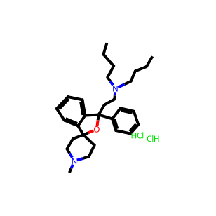 CCCCN(CCCC)CCC1(c2ccccc2)OC2(CCN(C)CC2)c2ccccc21.Cl.Cl